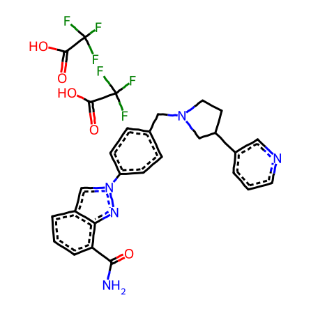 NC(=O)c1cccc2cn(-c3ccc(CN4CCC(c5cccnc5)C4)cc3)nc12.O=C(O)C(F)(F)F.O=C(O)C(F)(F)F